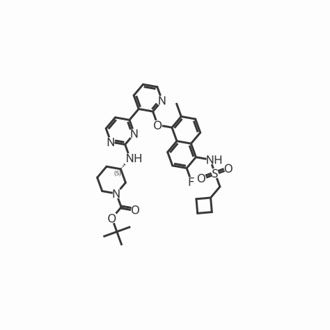 Cc1ccc2c(NS(=O)(=O)CC3CCC3)c(F)ccc2c1Oc1ncccc1-c1ccnc(N[C@H]2CCCN(C(=O)OC(C)(C)C)C2)n1